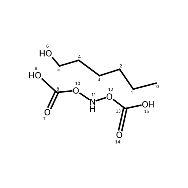 CCCCCCO.O=C(O)ONOC(=O)O